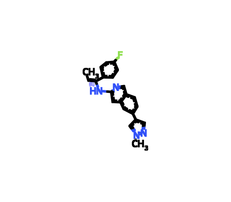 C/C=C(/Nc1cc2cc(-c3cnn(C)c3)ccc2cn1)c1ccc(F)cc1